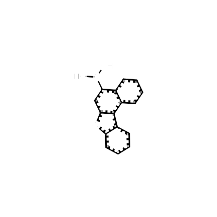 OB(O)c1cc2oc3ccccc3c2c2ccccc12